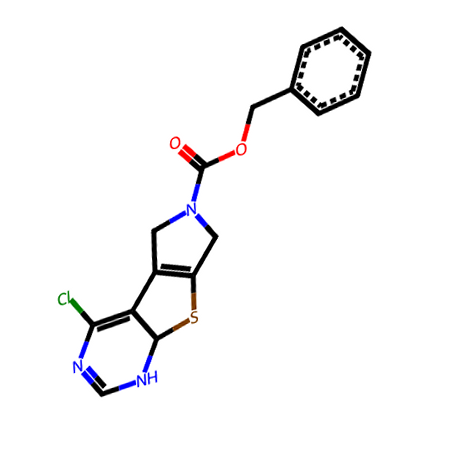 O=C(OCc1ccccc1)N1CC2=C(C1)C1=C(Cl)N=CNC1S2